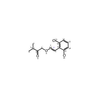 CN(C)C(=O)CO/N=C/c1c(Cl)cccc1Cl